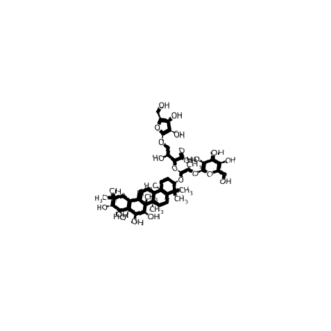 C[C@H](O[C@@H]1OC(CO)[C@H](O)C(O)[C@@H]1O)[C@@H](OC(C(=O)O)[C@@H](O)CO[C@@H]1O[C@@H](CO)C(O)[C@@H]1O)O[C@H]1CC[C@@]2(C)C(CC[C@]3(C)C2CC=C2C4CC(C)(C)[C@@H](O)[C@H](O)[C@]4(CO)[C@H](O)[C@H](O)[C@]23C)C1(C)C